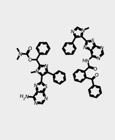 CN(C)C(=O)OC(c1ccccc1)c1nc(-c2ccccc2)c(-c2nc3c(N)ncnc3s2)n1C.Cn1cnc(-c2ccccc2)c1-c1nc2c(NC(=O)c3ccccc3C(=O)c3ccccc3)ncnc2s1